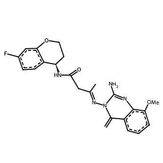 C=C1c2cccc(OC)c2N=C(N)N1/N=C(\C)CC(=O)N[C@@H]1CCOc2cc(F)ccc21